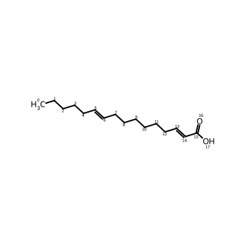 CCCCCC=CCCCCCCC=CC(=O)O